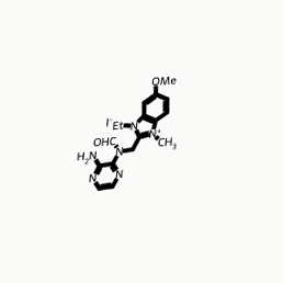 CCn1c(CN(C=O)c2nccnc2N)[n+](C)c2ccc(OC)cc21.[I-]